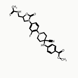 COC(=O)c1ccc(NC2(C#N)CCN(c3ccc(N4CC(CNC(C)=S)OC4=O)cc3F)CC2)cc1